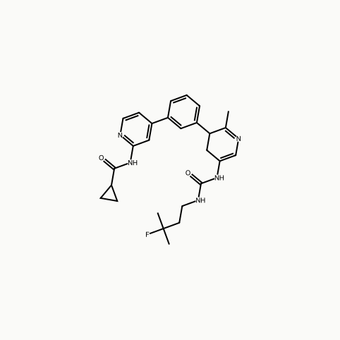 CC1=NC=C(NC(=O)NCCC(C)(C)F)CC1c1cccc(-c2ccnc(NC(=O)C3CC3)c2)c1